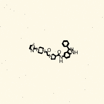 O=C(Nc1ccc2[nH]nc(-c3ccccc3)c2c1)C1CCN(CC(=O)N2CCN(c3nccs3)CC2)C1